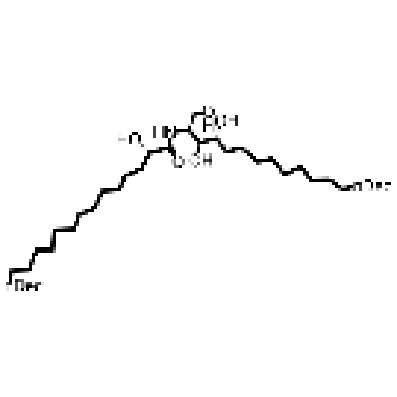 CCCCCCCCCCCCCCCCCCCCCC[C@H](O)C(=O)N[C@@H](CO)[C@H](O)[C@H](O)CCCCCCCCCCCCCCCCCCC